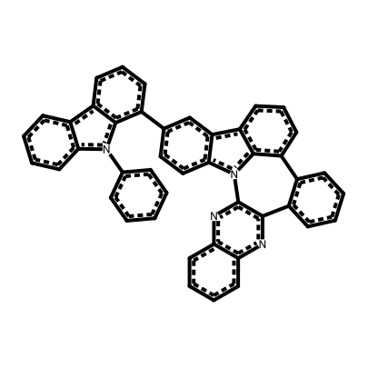 c1ccc(-n2c3ccccc3c3cccc(-c4ccc5c(c4)c4cccc6c4n5-c4nc5ccccc5nc4-c4ccccc4-6)c32)cc1